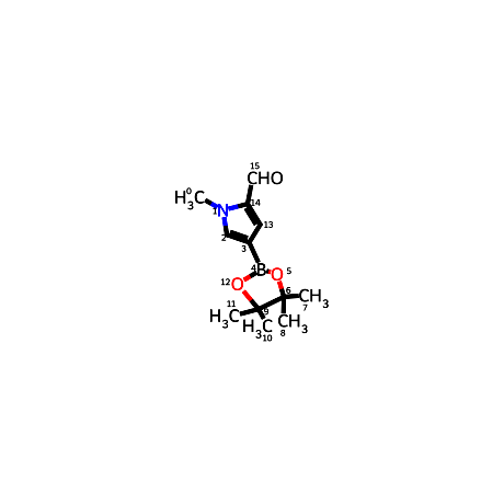 Cn1cc(B2OC(C)(C)C(C)(C)O2)cc1C=O